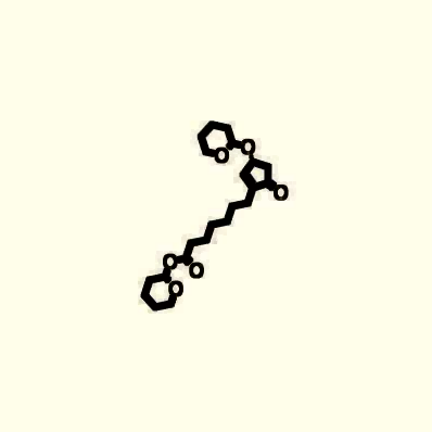 O=C(CCCCCCC1=C[C@H](OC2CCCCO2)CC1=O)OC1CCCCO1